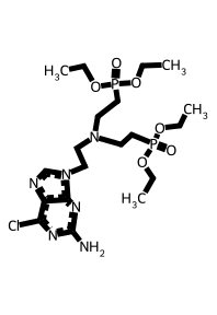 CCOP(=O)(CCN(CCn1cnc2c(Cl)nc(N)nc21)CCP(=O)(OCC)OCC)OCC